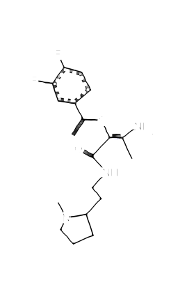 C=C(S/C(C(=O)NCCC1CCCN1C)=C(/C)N)c1ccc(F)c(F)c1